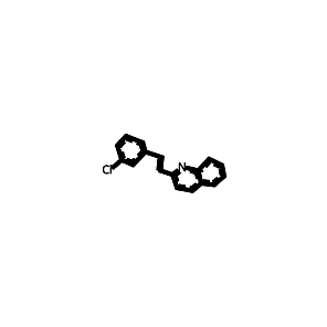 Clc1cccc(C=Cc2ccc3ccccc3n2)c1